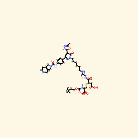 Cc1nnc(-c2cc(-c3ccc(NC(=O)N4Cc5ccncc5C4)cc3)nn(CCCCCCNC(=O)CNC(=O)C(CC(=O)O)SCC(NC(=O)OCC[Si](C)(C)C)C(=O)O)c2=O)o1